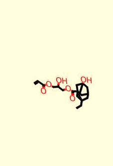 C=CC(=O)OCC(O)COC(=O)C12CC3CC(O)(CC(CC)(C3)C1)C2